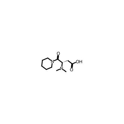 CN(C)[C@@H](CC(=O)O)C(=O)N1CCCCC1